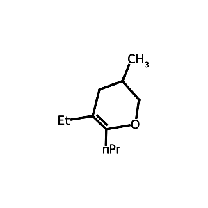 CCCC1=C(CC)CC(C)CO1